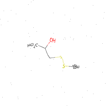 CC(C)(C)SSCC(O)C(=O)O